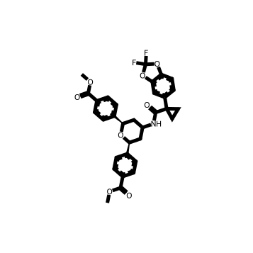 COC(=O)c1ccc([C@@H]2CC(NC(=O)C3(c4ccc5c(c4)OC(F)(F)O5)CC3)C[C@H](c3ccc(C(=O)OC)cc3)O2)cc1